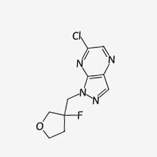 FC1(Cn2ncc3ncc(Cl)nc32)CCOC1